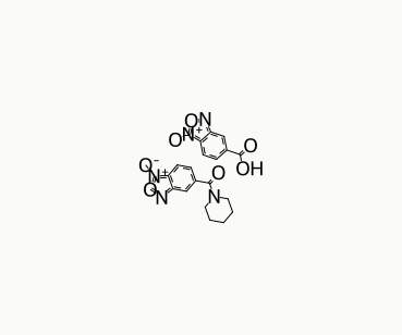 O=C(O)c1ccc2c(c1)no[n+]2[O-].O=C(c1ccc2c(c1)no[n+]2[O-])N1CCCCC1